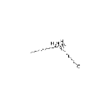 CCCCCCCCCCCCCCCC(N)C(=NCCCCCCCCCCCCCC)NC(C)(C)C